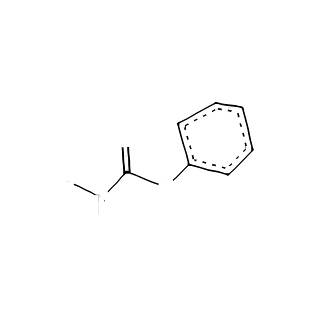 O=C(NF)Oc1ccccc1